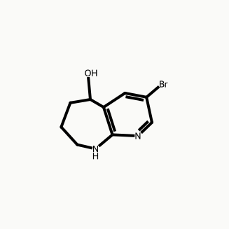 OC1CCCNc2ncc(Br)cc21